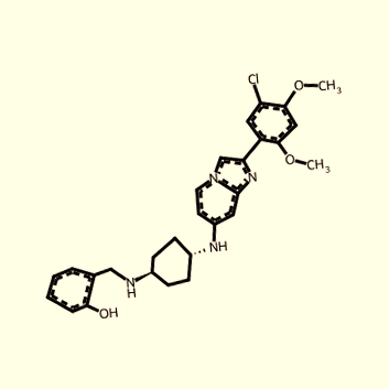 COc1cc(OC)c(-c2cn3ccc(N[C@H]4CC[C@H](NCc5ccccc5O)CC4)cc3n2)cc1Cl